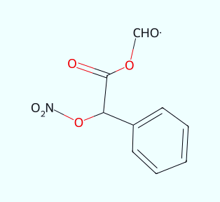 O=[C]OC(=O)C(O[N+](=O)[O-])c1ccccc1